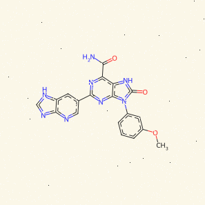 COc1cccc(-n2c(=O)[nH]c3c(C(N)=O)nc(-c4cnc5nc[nH]c5c4)nc32)c1